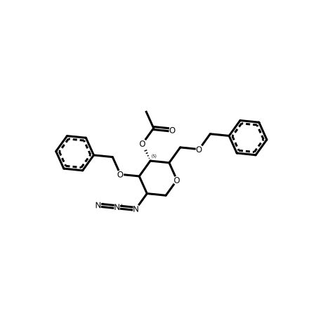 CC(=O)O[C@@H]1C(COCc2ccccc2)OCC(N=[N+]=[N-])C1OCc1ccccc1